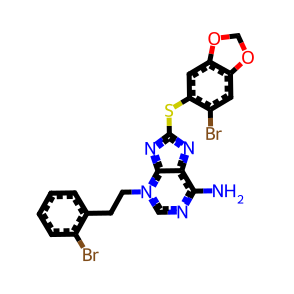 Nc1ncn(CCc2ccccc2Br)c2nc(Sc3cc4c(cc3Br)OCO4)nc1-2